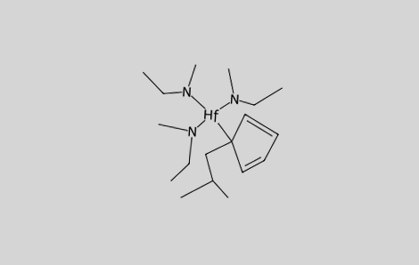 CC[N](C)[Hf]([N](C)CC)([N](C)CC)[C]1(CC(C)C)C=CC=C1